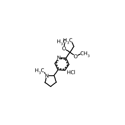 CCC(OC)(OC)c1ccc(C2CCCN2C)cn1.Cl